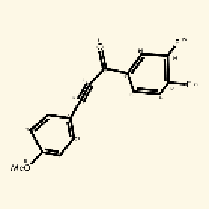 COc1ccc(C#CC(=O)c2ccc(F)c(F)c2)cc1